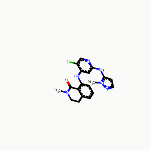 CN1CCc2cccc(Nc3cc(Nc4ccnn4C)ncc3Cl)c2C1=O